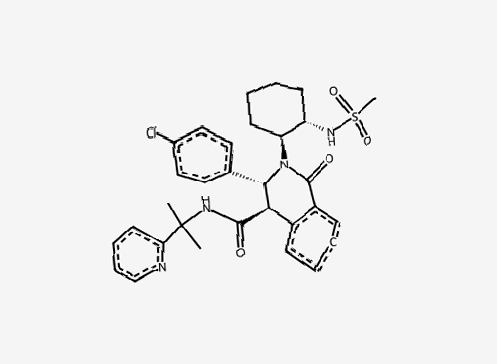 CC(C)(NC(=O)[C@@H]1c2ccccc2C(=O)N([C@H]2CCCC[C@@H]2NS(C)(=O)=O)[C@H]1c1ccc(Cl)cc1)c1ccccn1